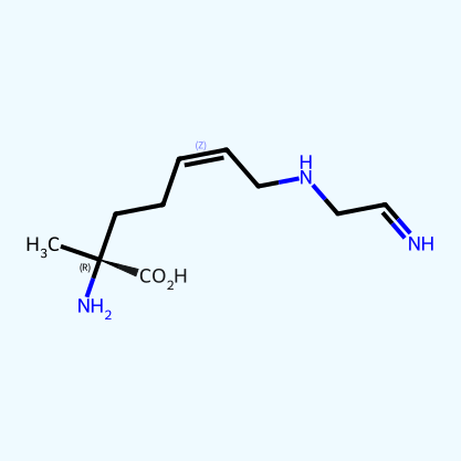 C[C@@](N)(CC/C=C\CNCC=N)C(=O)O